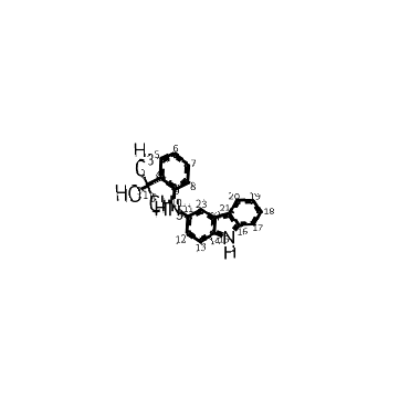 CC(C)(O)c1ccccc1Nc1ccc2[nH]c3ccccc3c2c1